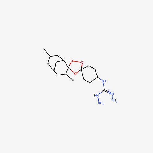 CC1CC2CC(C)C3(OOC4(CCC(N/C(=N/N)NN)CC4)O3)C(C1)C2